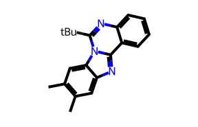 Cc1cc2nc3c4ccccc4nc(C(C)(C)C)n3c2cc1C